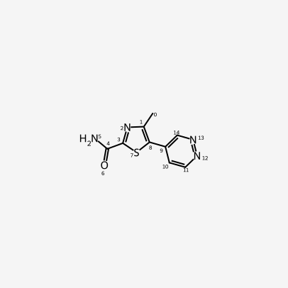 Cc1nc(C(N)=O)sc1-c1ccnnc1